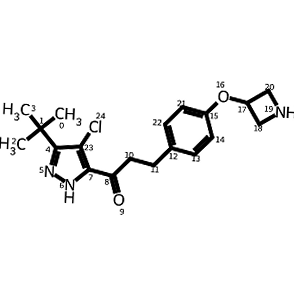 CC(C)(C)c1n[nH]c(C(=O)CCc2ccc(OC3CNC3)cc2)c1Cl